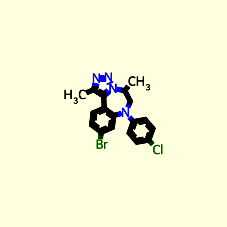 Cc1nnn2c1-c1ccc(Br)cc1N(c1ccc(Cl)cc1)CC2C